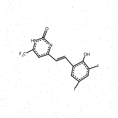 O=c1nc(/C=C/c2cc(I)cc(I)c2O)cc(C(F)(F)F)[nH]1